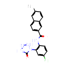 N#Cc1ccc2cc(C(=O)Nc3ccc(Cl)cc3N3NNNC3=O)ccc2c1